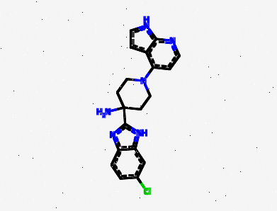 NC1(c2nc3ccc(Cl)cc3[nH]2)CCN(c2ccnc3[nH]ccc23)CC1